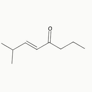 CCCC(=O)/C=C/C(C)C